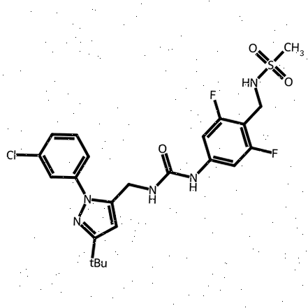 CC(C)(C)c1cc(CNC(=O)Nc2cc(F)c(CNS(C)(=O)=O)c(F)c2)n(-c2cccc(Cl)c2)n1